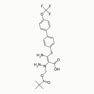 CC(C)(C)C(=O)OCN(N)/C(C(=O)O)=C(\N)Sc1ccc(-c2ccc(OC(F)(F)F)cc2)cc1